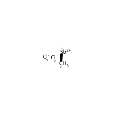 [CH3][Sb+2].[Cl-].[Cl-]